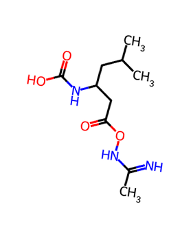 CC(=N)NOC(=O)CC(CC(C)C)NC(=O)O